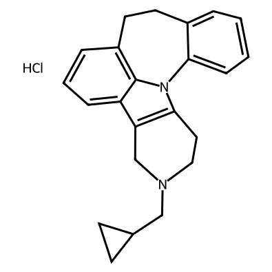 Cl.c1ccc2c(c1)CCc1cccc3c4c(n-2c13)CCN(CC1CC1)C4